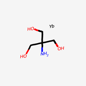 NC(CO)(CO)CO.[Yb]